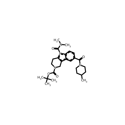 CC1CCN(C(=O)c2ccc3c(c2)c2c(n3C(=O)N(C)C)CCN(C(=O)OC(C)(C)C)C2)CC1